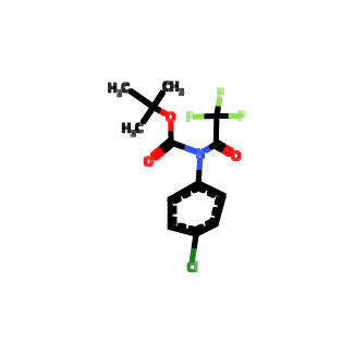 CC(C)(C)OC(=O)N(C(=O)C(F)(F)F)c1ccc(Cl)cc1